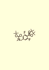 CN(Cc1cc(F)c(B2OC(C)(C)C(C)(C)O2)c(F)c1)C(=O)OC(C)(C)C